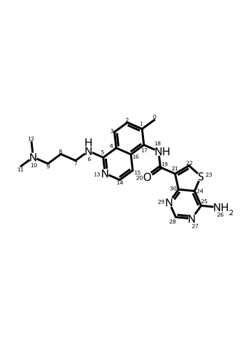 Cc1ccc2c(NCCCN(C)C)nccc2c1NC(=O)c1csc2c(N)ncnc12